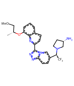 COC[C@@H](C)Oc1cccc2ccc(-c3nnc4ccc([C@@H](N5CC[C@H](N)C5)C(F)(F)F)cn34)nc12